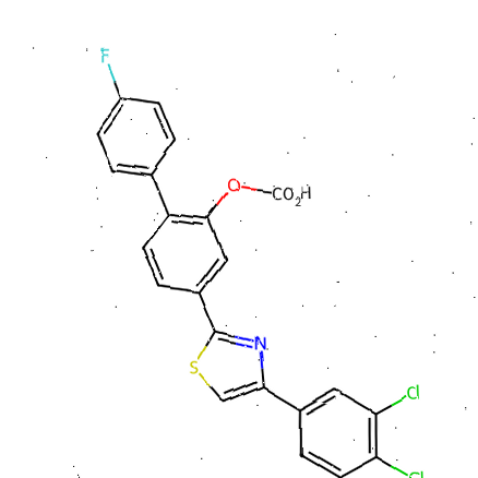 O=C(O)Oc1cc(-c2nc(-c3ccc(Cl)c(Cl)c3)cs2)ccc1-c1ccc(F)cc1